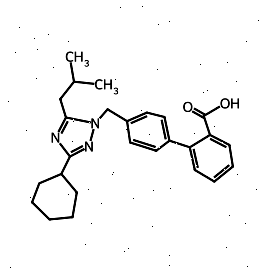 CC(C)Cc1nc(C2CCCCC2)nn1Cc1ccc(-c2ccccc2C(=O)O)cc1